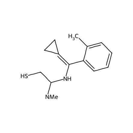 CNC(CS)NC(=C1CC1)c1ccccc1C